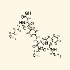 CCCn1c(=O)c2c(nc(Cc3ccccc3)n2CCNCC)n(CCc2ccc(NC(=O)C(CC(=O)O)NC(=O)CCCCCN)cc2)c1=O